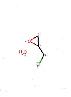 ClCC1CO1.O